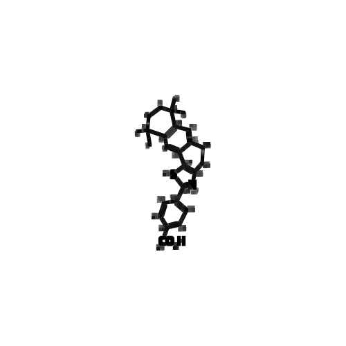 CC1(C)CCC(C)(C)c2cc3c(cc21)CCc1nc(-c2ccc(C(=O)O)cc2)sc1-3